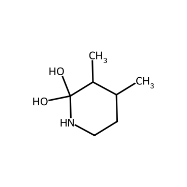 CC1CCNC(O)(O)C1C